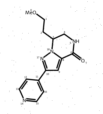 COCCC1CNC(=O)c2cc(-c3ccncc3)nn21